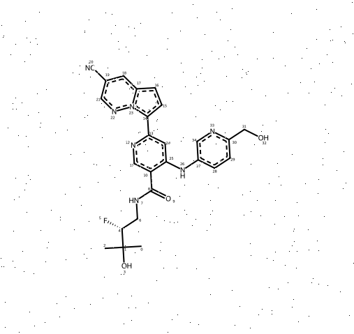 CC(C)(O)[C@H](F)CNC(=O)c1cnc(-c2ccc3cc(C#N)cnn23)cc1Nc1ccc(CO)nc1